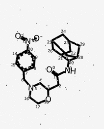 O=C(CC1CN(Cc2ccc([N+](=O)[O-])cc2)CCO1)NC1C2CC3CC(C2)CC1C3